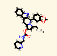 CCc1cc(OC(=O)NCc2ccccn2)c2n1C(c1ccc3c(c1)OCO3)c1[nH]c3ccccc3c1C2